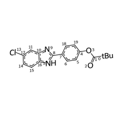 CC(C)(C)C(=O)Oc1ccc(-c2nc3cc(Cl)ccc3[nH]2)cc1